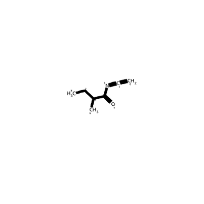 C=C=NC(=O)C(C)CC